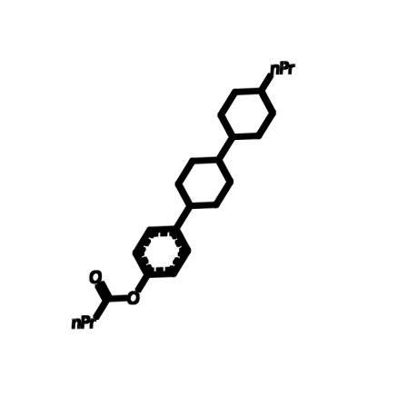 CCCC(=O)Oc1ccc(C2CCC(C3CCC(CCC)CC3)CC2)cc1